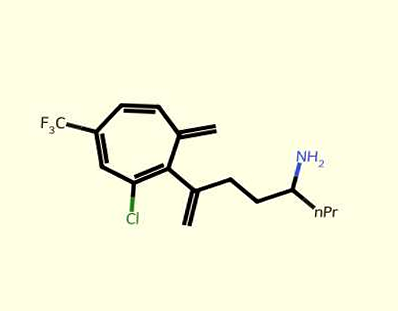 C=C1C=CC(C(F)(F)F)=CC(Cl)=C1C(=C)CCC(N)CCC